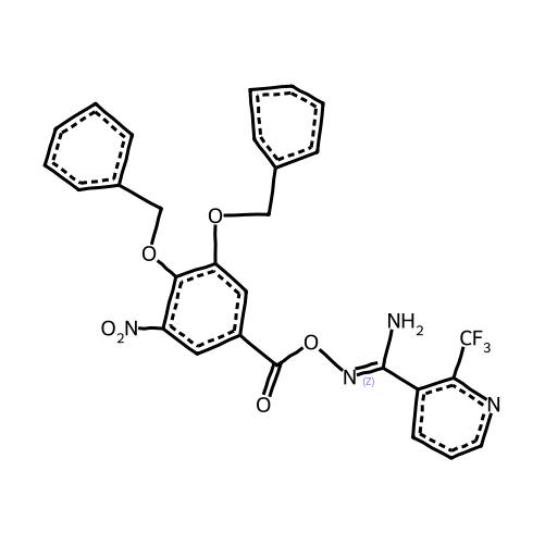 N/C(=N\OC(=O)c1cc(OCc2ccccc2)c(OCc2ccccc2)c([N+](=O)[O-])c1)c1cccnc1C(F)(F)F